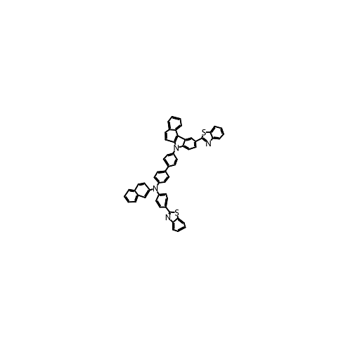 c1ccc2cc(N(c3ccc(-c4ccc(-n5c6ccc(-c7nc8ccccc8s7)cc6c6c7ccccc7ccc65)cc4)cc3)c3ccc(-c4nc5ccccc5s4)cc3)ccc2c1